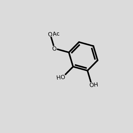 CC(=O)OOc1cccc(O)c1O